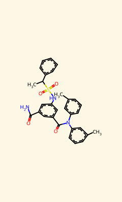 Cc1cccc(N(C(=O)c2cc(NS(=O)(=O)C(C)c3ccccc3)cc(C(N)=O)c2)c2cccc(C)c2)c1